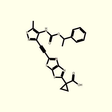 Cc1snc(C#Cc2nc3nc(C4(C(=O)O)CC4)sc3s2)c1NC(=O)OC(C)c1ccccc1